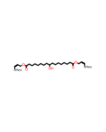 CCCCCC/C=C\COC(=O)CCCCCCCC(O)CCCCCCCC(=O)OC/C=C\CCCCCC